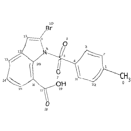 Cc1ccc(S(=O)(=O)n2c(Br)cc3cccc(C(=O)O)c32)cc1